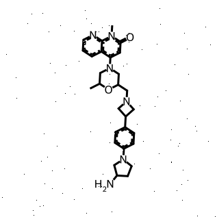 CC1CN(c2cc(=O)n(C)c3ncccc23)CC(CN2CC(c3ccc(N4CCC(N)C4)cc3)C2)O1